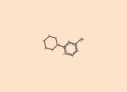 CC(C)c1ccnc(N2CCCCC2)c1